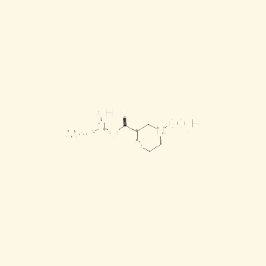 CON(C)OC(=O)C1CN(C(=O)O)CCO1